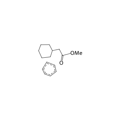 COC(=O)CC1CCCCC1.c1ccccc1